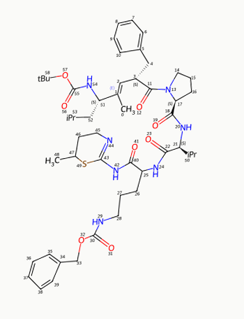 C/C(=C\[C@H](Cc1ccccc1)C(=O)N1CCC[C@H]1C(=O)N[C@H](C(=O)NC(CCCNC(=O)OCc1ccccc1)C(=O)NC1=NCCC(C)S1)C(C)C)[C@H](CC(C)C)NC(=O)OC(C)(C)C